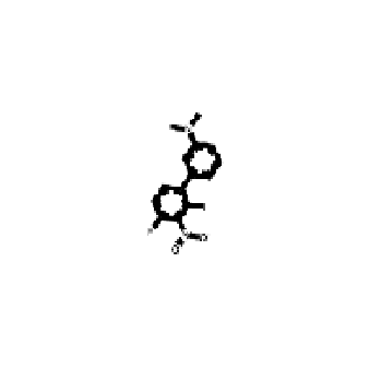 CN(C)c1cccc(-c2ccc(F)c([N+](=O)[O-])c2F)c1